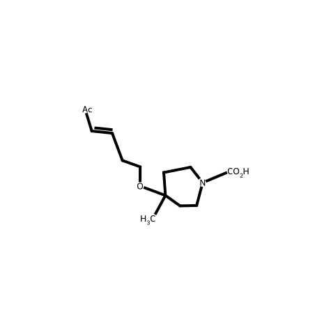 CC(=O)C=CCCOC1(C)CCN(C(=O)O)CC1